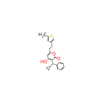 Cc1cc(CCc2cc(O)c(C(c3ccccc3)C3CC3)c(=O)o2)cs1